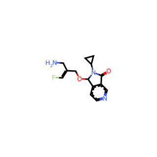 NCC(=CF)COC1c2ccncc2C(=O)N1C1CC1